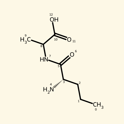 CCC[C@H](N)C(=O)NC(C)C(=O)O